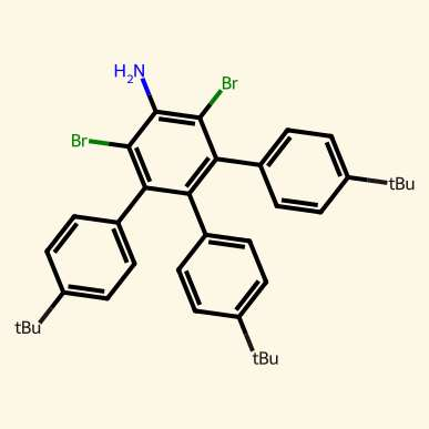 CC(C)(C)c1ccc(-c2c(Br)c(N)c(Br)c(-c3ccc(C(C)(C)C)cc3)c2-c2ccc(C(C)(C)C)cc2)cc1